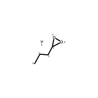 CCCC1OO1.[V]